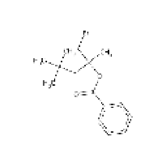 CC(C)(C)CC(C)(CBr)OC(=O)c1ccccc1